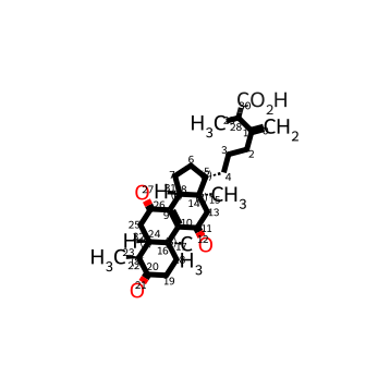 C=C(CCC[C@H]1CC[C@H]2C3=C(C(=O)C[C@]12C)[C@@]1(C)CCC(=O)[C@@H](C)[C@@H]1CC3=O)C(C)C(=O)O